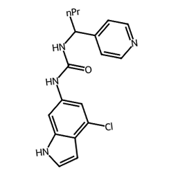 CCCC(NC(=O)Nc1cc(Cl)c2cc[nH]c2c1)c1ccncc1